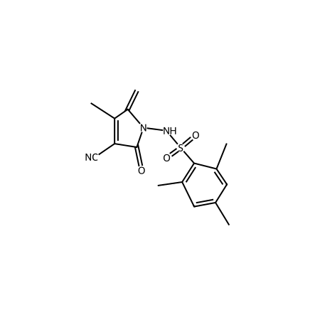 C=C1C(C)=C(C#N)C(=O)N1NS(=O)(=O)c1c(C)cc(C)cc1C